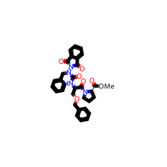 COC(=O)[C@@H]1CCCN1C(=O)C(COCc1ccccc1)NC(=O)N(Cc1ccccc1)N1C(=O)c2ccccc2C1=O